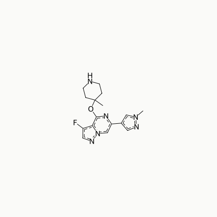 Cn1cc(-c2cn3ncc(F)c3c(OC3(C)CCNCC3)n2)cn1